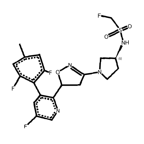 Cc1cc(F)c(-c2cc(F)cnc2C2CC(N3CC[C@H](NS(=O)(=O)CF)C3)=NO2)c(F)c1